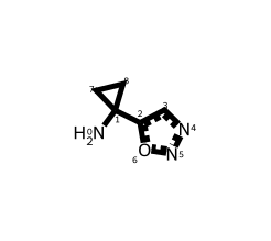 NC1(c2cnno2)CC1